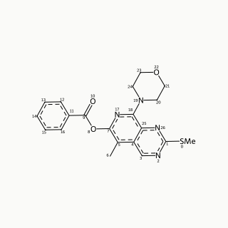 CSc1ncc2c(C)c(OC(=O)c3ccccc3)nc(N3CCOCC3)c2n1